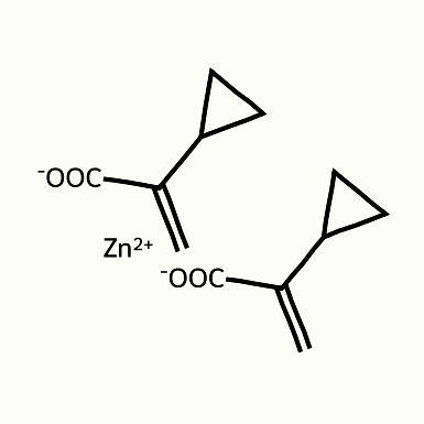 C=C(C(=O)[O-])C1CC1.C=C(C(=O)[O-])C1CC1.[Zn+2]